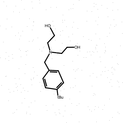 CC(C)(C)c1ccc(CN(CCO)CCO)cc1